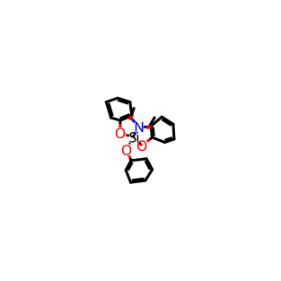 CCN(CC)[Si](Oc1ccccc1)(Oc1ccccc1)Oc1ccccc1